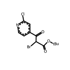 CC(C)(C)OC(=O)C(Br)C(=O)c1ccnc(Cl)c1